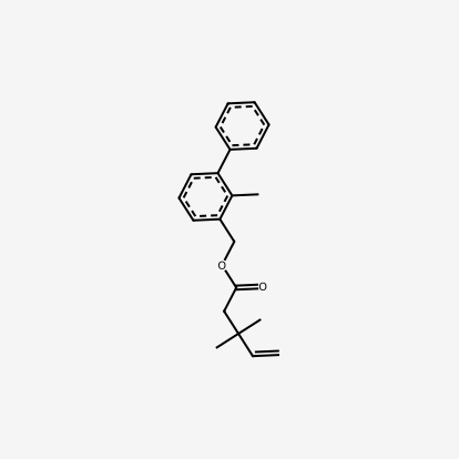 C=CC(C)(C)CC(=O)OCc1cccc(-c2ccccc2)c1C